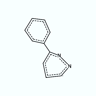 [c]1ccc(-c2ccccc2)nn1